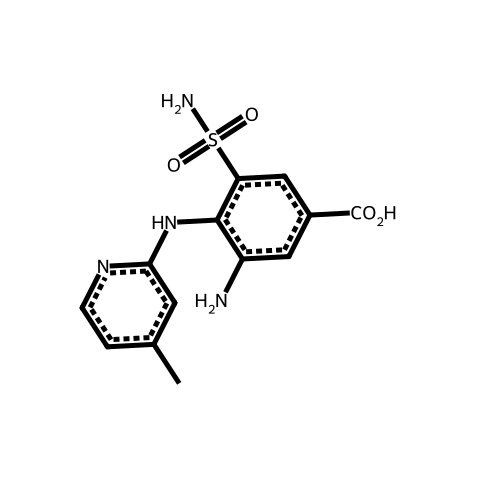 Cc1ccnc(Nc2c(N)cc(C(=O)O)cc2S(N)(=O)=O)c1